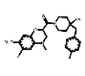 COc1cc2c(cc1Cl)N(C)CC(C(=O)N1CCC(C#N)(Cc3ccc(F)cc3)CC1)O2